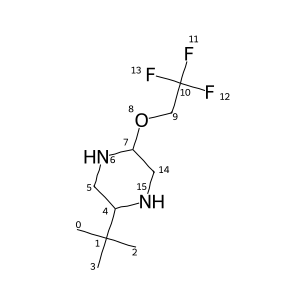 CC(C)(C)C1CNC(OCC(F)(F)F)CN1